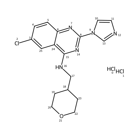 Cl.Cl.Clc1ccc2nc(-n3ccnc3)nc(NCC3CCOCC3)c2c1